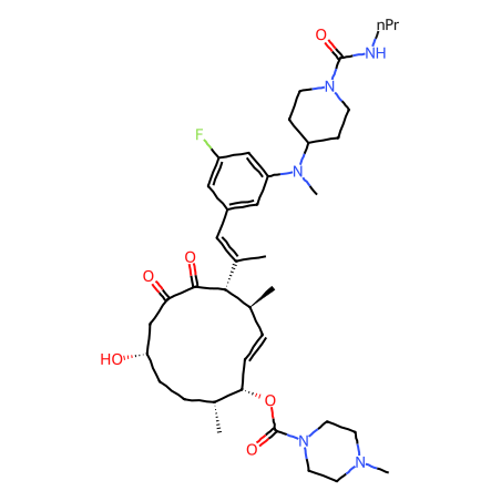 CCCNC(=O)N1CCC(N(C)c2cc(F)cc(/C=C(\C)[C@H]3C(=O)C(=O)C[C@@H](O)CC[C@@H](C)[C@@H](OC(=O)N4CCN(C)CC4)/C=C/[C@@H]3C)c2)CC1